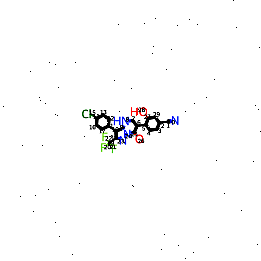 N#Cc1ccc(-c2c[nH]c3c(-c4ccc(Cl)cc4)c(C(F)(F)F)nn3c2=O)c(O)c1